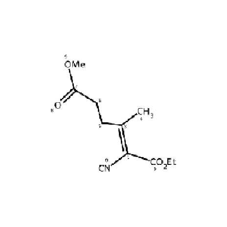 [C-]#[N+]C(C(=O)OCC)=C(C)CCC(=O)OC